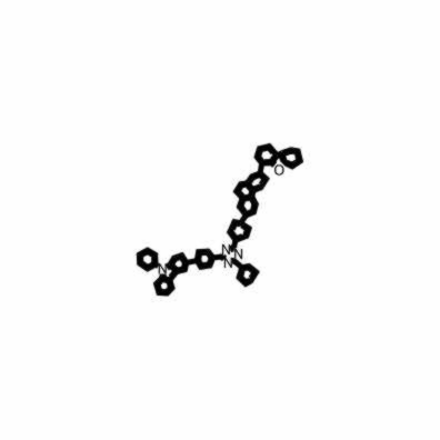 c1ccc(-c2nc(-c3ccc(-c4ccc5c(ccc6cc(-c7cccc8c7oc7ccccc78)ccc65)c4)cc3)nc(-c3ccc(-c4ccc5c(c4)c4ccccc4n5-c4ccccc4)cc3)n2)cc1